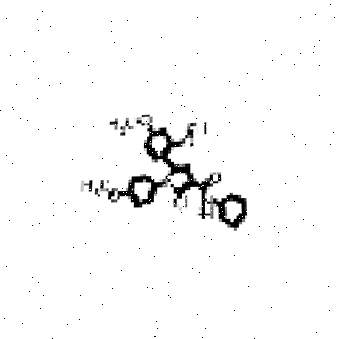 COc1ccc(-n2c(-c3ccc(OC)cc3OC)cc(C(=O)Nc3ccccc3)c2C)cc1